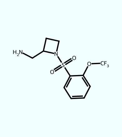 NCC1CCN1S(=O)(=O)c1ccccc1OC(F)(F)F